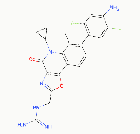 Cc1c(-c2cc(F)c(N)cc2F)ccc2c3oc(CNC(=N)N)nc3c(=O)n(C3CC3)c12